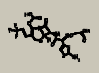 Nc1nc(C(=NOCC(=O)O)C(=O)NC2C(=O)N3C(OC(=O)O)=C(C=CC(F)(F)F)CS[C@@H]23)cs1